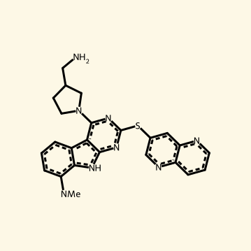 CNc1cccc2c1[nH]c1nc(Sc3cnc4cccnc4c3)nc(N3CCC(CN)C3)c12